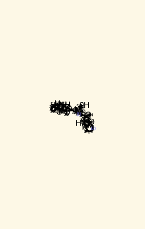 C=C1CC/C=C\CN2C(=O)C3CC(OC)=C(OC/C(=C/[C@@H](CCCOC4=C(OC)C[C@H]5C(=O)N6C7C=CC=C[C@H]7C[C@H]6CN[C@H]5C4)N(C)CC(C)(C)S)CC)C[C@H]3NC[C@@H]2C1